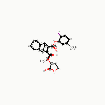 C/C=C\C1=C(C)C2c3ccccc3C1C(C(=O)OC1CCOC1=O)C2C(=O)Oc1cc(C(=O)O)ccc1I